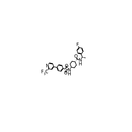 C[C@@H](NC(=O)[C@H]1CC[C@H](NS(=O)(=O)c2ccc(-c3ccnc(C(F)(F)F)c3)cc2)CC1)c1ccc(F)cc1